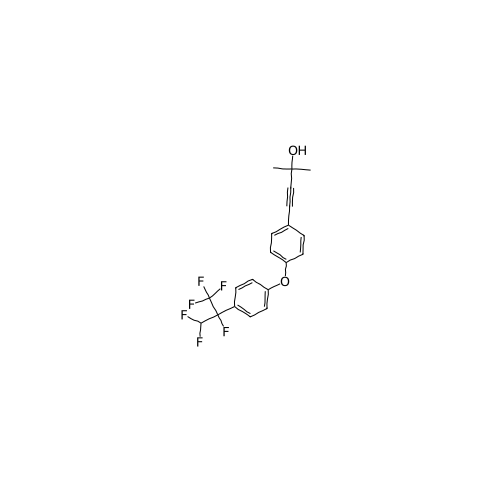 CC(C)(O)C#Cc1ccc(Oc2ccc(C(F)(C(F)F)C(F)(F)F)cc2)cc1